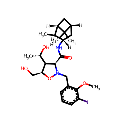 COc1c(I)cccc1CN1O[C@@H](CO)C([C@H](C)O)[C@H]1C(=O)N[C@H]1C[C@H]2C[C@@H]([C@@H]1C)C2(C)C